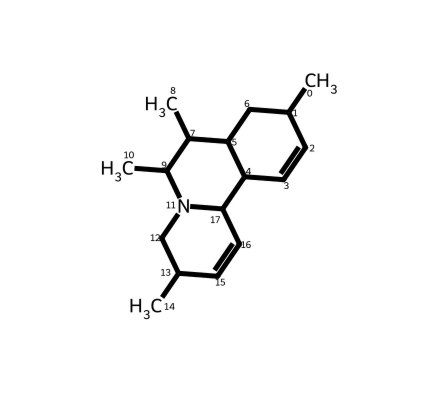 CC1C=CC2C(C1)C(C)C(C)N1CC(C)C=CC21